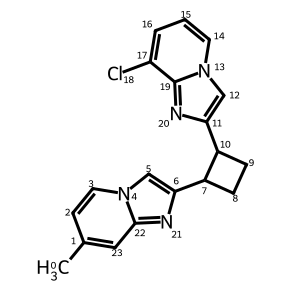 Cc1ccn2cc(C3CCC3c3cn4cccc(Cl)c4n3)nc2c1